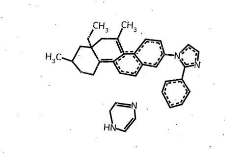 C1=CNCC=N1.CCC12CC(C)=c3c(ccc4cc(-n5ccnc5-c5ccccc5)ccc34)=C1CCC(C)C2